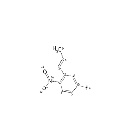 CC=Cc1cc(F)ccc1[N+](=O)[O-]